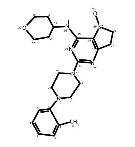 Cc1ccccc1N1CCN(c2nc3c(c(NC4CCOCC4)n2)[S+]([O-])CC3)CC1